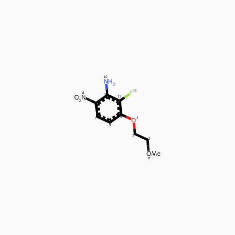 COCCOc1ccc([N+](=O)[O-])c(N)c1F